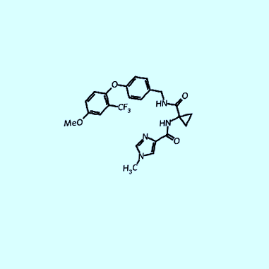 COc1ccc(Oc2ccc(CNC(=O)C3(NC(=O)c4cn(C)cn4)CC3)cc2)c(C(F)(F)F)c1